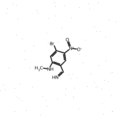 CNc1cc(Br)c([N+](=O)[O-])cc1C=N